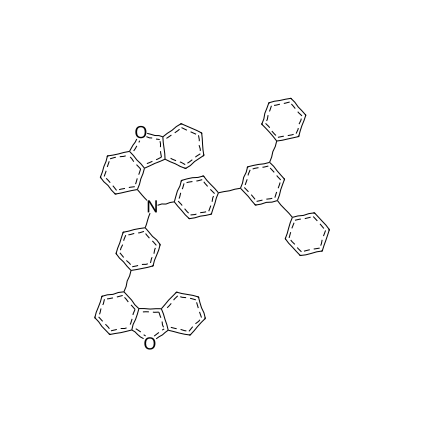 c1ccc(-c2cc(-c3ccccc3)cc(-c3ccc(N(c4ccc(-c5cccc6oc7ccccc7c56)cc4)c4cccc5oc6ccccc6c45)cc3)c2)cc1